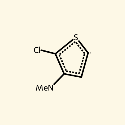 CNc1c[c]sc1Cl